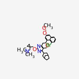 COCOc1cc(C2Cc3nc(OCC4(CN(C)C)CC4)nc(C4CC5CCC(C5)C4)c3CO2)c2c(Br)cccc2c1